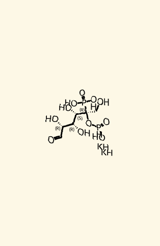 O=C[C@H](O)[C@@H](O)[C@H](O)[C@](CO)(O[PH](=O)O)P(=O)(O)O.[KH].[KH]